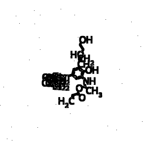 C=C.C=C.C=C.C=C.C=C.C=CC(=O)OC(C)Nc1cc(CCCCCCCCC)ccc1O.CCOCC.OCCO